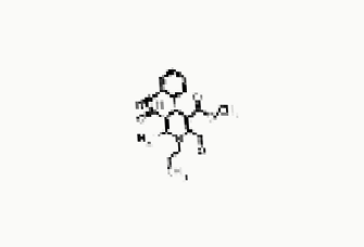 CCCN1C(C)=C(C(=O)O)C(c2ccccc2C#N)C(C(=O)OC)=C1C=O